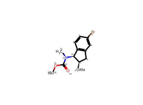 CO[C@@H]1Cc2cc(Br)ccc2[C@@H]1N(C)C(=O)OC(C)(C)C